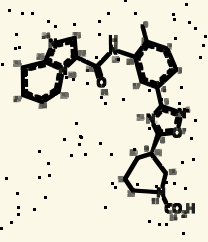 Cc1ccc(-c2noc([C@@H]3CCCN(C(=O)O)C3)n2)cc1NC(=O)c1cnc2ccccn12